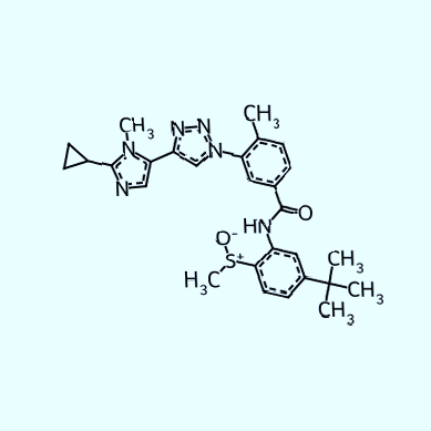 Cc1ccc(C(=O)Nc2cc(C(C)(C)C)ccc2[S+](C)[O-])cc1-n1cc(-c2cnc(C3CC3)n2C)nn1